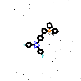 C=P(c1ccccc1)(c1cccc(-c2ccc(-c3nc(-c4ccc(F)cc4)nc(-c4ccc(F)cc4)n3)cc2)c1)C1CCCCC1